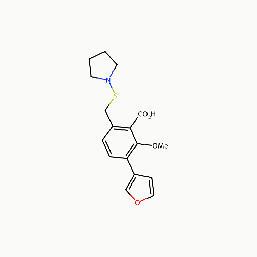 COc1c(-c2ccoc2)ccc(CSN2CCCC2)c1C(=O)O